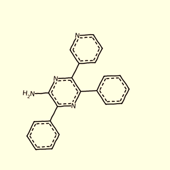 Nc1nc(-c2cccnc2)c(-c2ccccc2)nc1-c1ccccc1